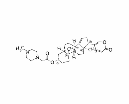 CN1CCN(CC(=O)O[C@H]2CC[C@@]3(C)[C@H](CC[C@H]4C5=CC[C@H](c6ccc(=O)oc6)[C@@]5(C)CC[C@@H]43)C2)CC1